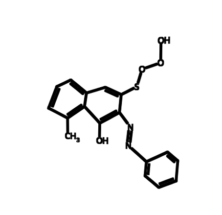 Cc1cccc2cc(SOOO)c(N=Nc3ccccc3)c(O)c12